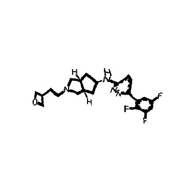 Fc1cc(F)c(F)c(-c2ccc(N[C@@H]3C[C@@H]4CN(CCC5COC5)C[C@@H]4C3)nn2)c1